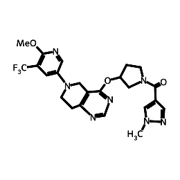 COc1ncc(N2CCc3ncnc(OC4CCN(C(=O)c5cnn(C)c5)C4)c3C2)cc1C(F)(F)F